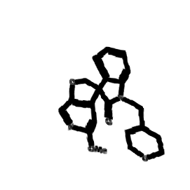 COc1cc2c(cn1)OCC21C(=O)N(CC2CCOCC2)c2ccccc21